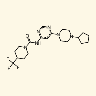 O=C(Nc1cc(N2CCN(C3CCCC3)CC2)ncn1)N1CCC(C(F)(F)F)CC1